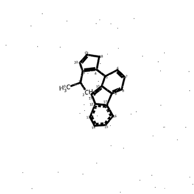 CC(C)C1=C(C2C=CC=C3C2=Cc2ccccc23)CC=C1